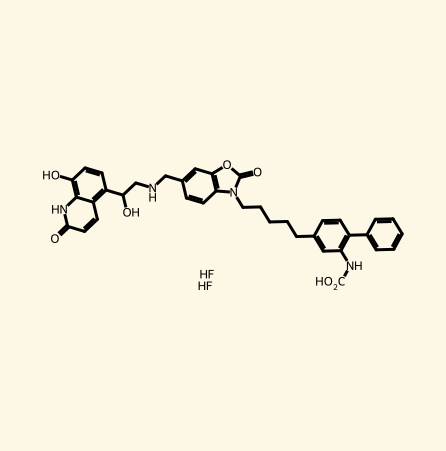 F.F.O=C(O)Nc1cc(CCCCCn2c(=O)oc3cc(CNCC(O)c4ccc(O)c5[nH]c(=O)ccc45)ccc32)ccc1-c1ccccc1